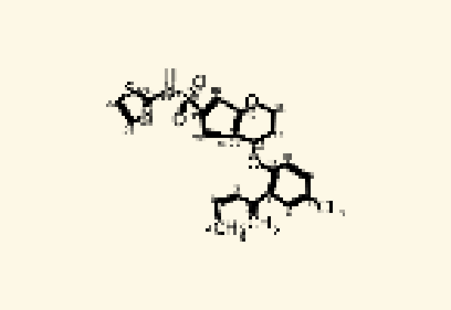 C=C(/C=C\C)c1cc(C(F)(F)F)ccc1O[C@@H]1CCOc2cc(S(=O)(=O)Nc3nccs3)ccc21